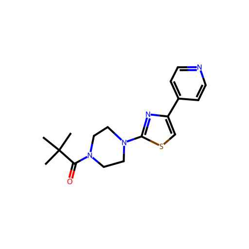 CC(C)(C)C(=O)N1CCN(c2nc(-c3ccncc3)cs2)CC1